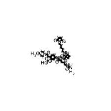 CN1CCN(C(=O)C(OC(=O)O)c2ccc(NC(=O)C(CCCNC(N)=O)NC(=O)C3(C(=O)NCCCCCN4C(=O)C=CC4=O)CCC3)cc2)CC1